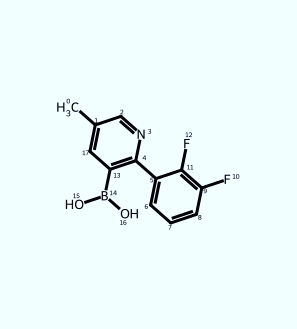 Cc1cnc(-c2cccc(F)c2F)c(B(O)O)c1